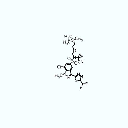 Cn1nc(-c2nnc(C(F)F)s2)c2cc(S(=O)(=O)N(COCC[Si](C)(C)C)C3(C#N)CC3)cc(Cl)c21